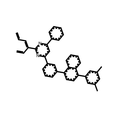 C=C/C=C(\C=C)c1nc(-c2ccccc2)cc(-c2cccc(-c3ccc(-c4cc(C)cc(C)c4)c4ccccc34)c2)n1